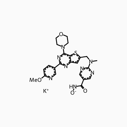 COc1ccc(-c2nc(N3CCOCC3)c3sc(CN(C)c4ncc(C(=O)N[O-])cn4)cc3n2)cn1.[K+]